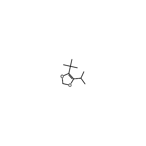 CC(C)C1=C(C(C)(C)C)OCO1